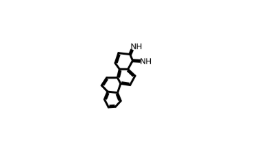 N=C1C=Cc2c(ccc3c2ccc2ccccc23)C1=N